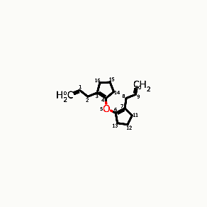 C=CCC1=C(OC2=C(CC=C)CCC2)CCC1